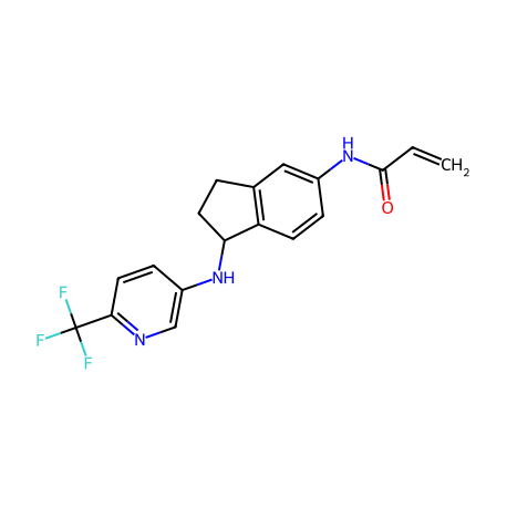 C=CC(=O)Nc1ccc2c(c1)CCC2Nc1ccc(C(F)(F)F)nc1